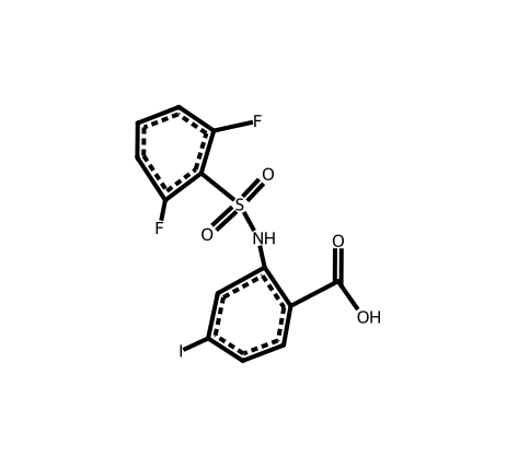 O=C(O)c1ccc(I)cc1NS(=O)(=O)c1c(F)cccc1F